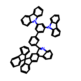 c1cc(-c2cc(-n3c4ccccc4c4ccccc43)cc(-n3c4ccccc4c4ccccc43)c2)cc(-c2nc3ccccc3c3cc4c(cc23)C2(c3ccccc3-c3ccccc32)c2ccccc2-4)c1